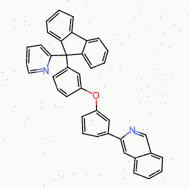 c1ccc(C2(c3cccc(Oc4cccc(-c5cc6ccccc6cn5)c4)c3)c3ccccc3-c3ccccc32)nc1